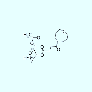 CC(=O)OC[C@H]1O[C@H]2CC2C1OC(=O)CCC(=O)C1CCCCCCC1